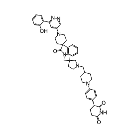 O=C1CC[C@@H](c2ccc(N3CCC(CN4CCC5(C4)CN(C(=O)C4(c6ccccc6)CCN(c6cnnc(-c7ccccc7O)c6)CC4)C5)CC3)cc2)C(=O)N1